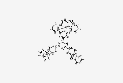 c1ccc(-c2cc(-c3cc(-c4ccc(C56CC7CC(CC(C7)C5)C6)cc4)nc(-c4ccc5c(c4)oc4ccccc45)n3)ccc2-c2cccc3oc4ccccc4c23)cc1